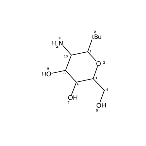 CC(C)(C)C1OC(CO)C(O)C(O)C1N